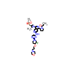 C=CC(=O)N1CCCC1c1ncc(N2C[C@H](CS(C)(=O)=O)[C@H]2C)c2cnc(Nc3ccnc(N4CC[C@@H](OCCCN5CCOCC5)[C@@H](F)C4)n3)cc12